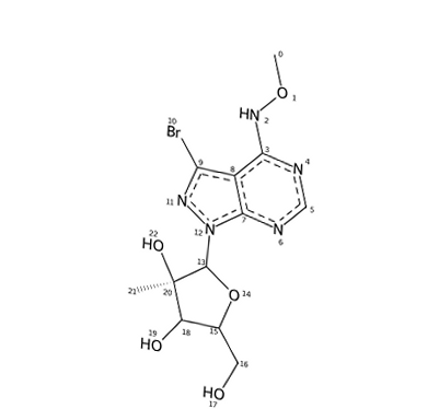 CONc1ncnc2c1c(Br)nn2C1OC(CO)C(O)[C@@]1(C)O